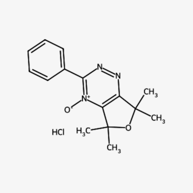 CC1(C)OC(C)(C)c2c1nnc(-c1ccccc1)[n+]2[O-].Cl